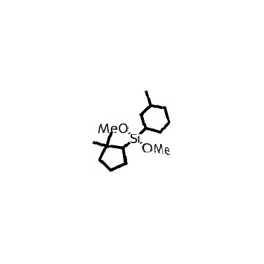 CO[Si](OC)(C1CCCC(C)C1)C1CCCC1(C)C